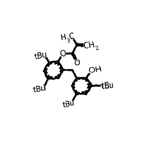 C=C(C)C(=O)Oc1c(Cc2cc(C(C)(C)C)cc(C(C)(C)C)c2O)cc(C(C)(C)C)cc1C(C)(C)C